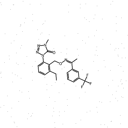 CCc1cccc(-n2nnn(C)c2=O)c1CON=C(C)c1cccc(C(F)(F)F)c1